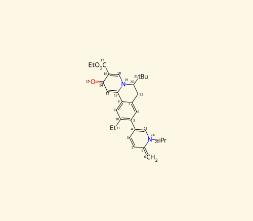 C=C1C=CC(c2cc3c(cc2CC)-c2cc(=O)c(C(=O)OCC)cn2C(C(C)(C)C)C3)=CN1C(C)C